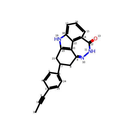 CC#Cc1ccc(C2CC3=NNC(=O)c4cccc5[nH]c(c3c45)C2)cc1